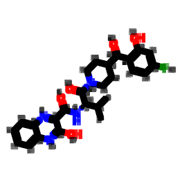 CC(C)[C@H](NC(=O)c1nc2ccccc2nc1O)C(=O)N1CCC(C(=O)c2ccc(F)cc2O)CC1